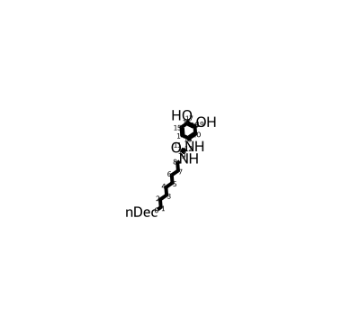 CCCCCCCCCCCCCCCCCCNC(=O)Nc1ccc(O)c(O)c1